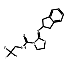 FC(F)(F)CNC(=S)N1CCS/C1=N\C1Cc2ccccc2C1